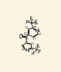 O=C(c1ccnc(C(F)(F)F)c1)c1ccnc(C(F)(F)F)c1